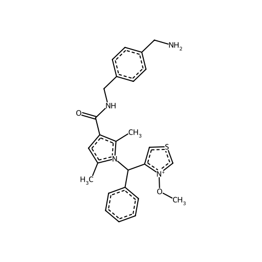 CO[n+]1cscc1C(c1ccccc1)n1c(C)cc(C(=O)NCc2ccc(CN)cc2)c1C